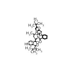 CC(C)C[C@@H](NC(=O)c1ccccc1OCc1ncc(C(C)(C)C)o1)C(=O)N1CCNC[C@@H]1C(=O)N(C)C(C)C